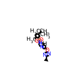 Cc1ccc(C(C)(C)C)cc1S(=O)(=O)N1CCN2C[C@H](Oc3cnc(C4CC4)cn3)C[C@H]2C1